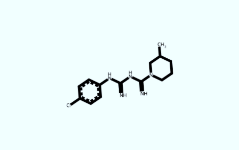 CC1CCCN(C(=N)NC(=N)Nc2ccc(Cl)cc2)C1